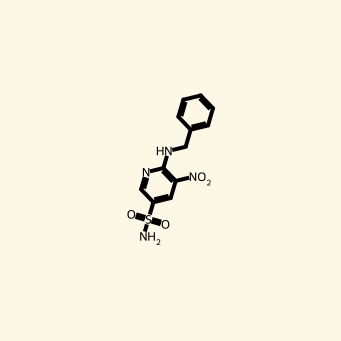 NS(=O)(=O)c1cnc(NCc2ccccc2)c([N+](=O)[O-])c1